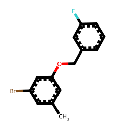 Cc1cc(Br)cc(OCc2cccc(F)c2)c1